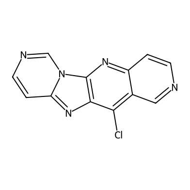 Clc1c2cnccc2nc2c1nc1ccncn12